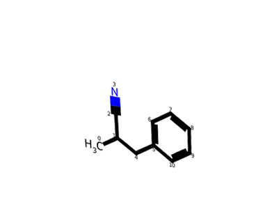 CC(C#N)Cc1ccccc1